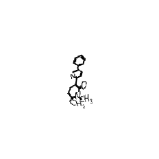 C=C1CCC(c2ccc(-c3ccccc3)cn2)C(=O)N1C